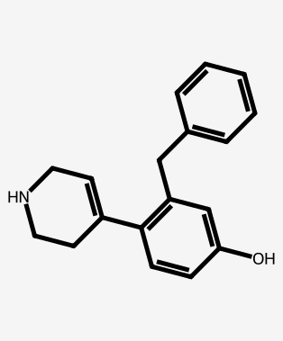 Oc1ccc(C2=CCNCC2)c(Cc2ccccc2)c1